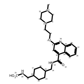 CN1CCN(CCOc2cc(C(=O)NCC3CCC(CNC(=O)O)CC3)c3ccccc3n2)CC1